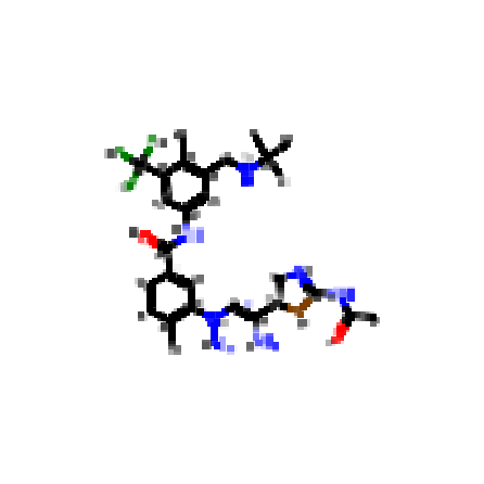 CC(=O)Nc1ncc(/C(N)=C/N(N)c2cc(C(=O)Nc3cc(CNC(C)(C)C)c(C)c(C(F)(F)F)c3)ccc2C)s1